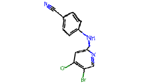 N#Cc1ccc(Nc2cc(Cl)c(Br)cn2)cc1